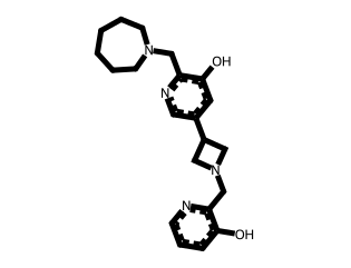 Oc1cc(C2CN(Cc3ncccc3O)C2)cnc1CN1CCCCCC1